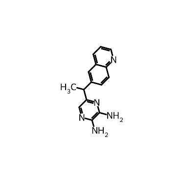 CC(c1ccc2ncccc2c1)c1cnc(N)c(N)n1